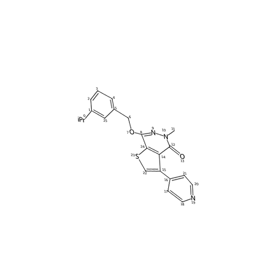 CC(C)c1cccc(COc2nn(C)c(=O)c3c(-c4ccncc4)csc23)c1